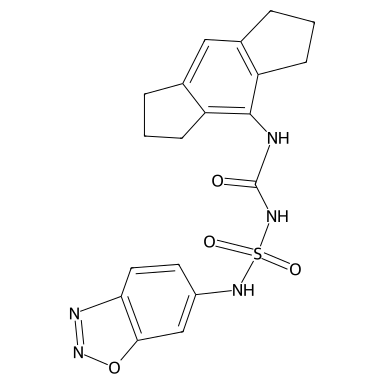 O=C(Nc1c2c(cc3c1CCC3)CCC2)NS(=O)(=O)Nc1ccc2nnoc2c1